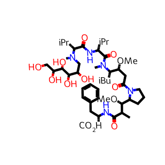 CCC(C)C(C(CC(=O)N1CCCC1C(OC)C(C)C(=O)NC(Cc1ccccc1)C(=O)O)OC)N(C)C(=O)C(NC(=O)C(C(C)C)N(C)CC(O)C(O)C(O)C(O)CO)C(C)C